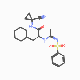 CC(=NS(=O)(=O)c1ccccc1)N[C@@H](CC1CCCCC1)C(=O)NC1(C#N)CC1